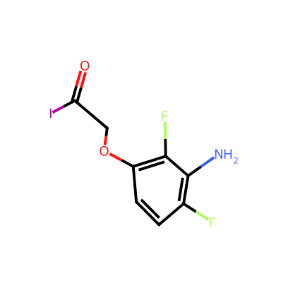 Nc1c(F)ccc(OCC(=O)I)c1F